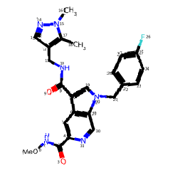 CONC(=O)c1cc2c(C(=O)NCc3cnn(C)c3C)cn(Cc3ccc(F)cc3)c2cn1